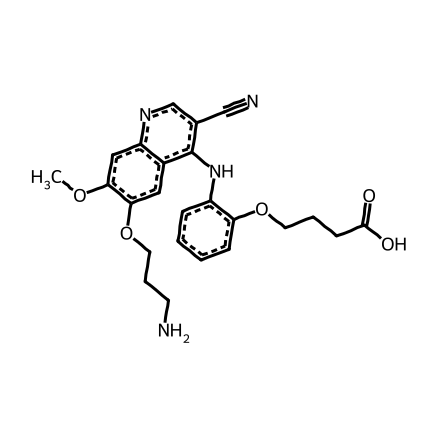 COc1cc2ncc(C#N)c(Nc3ccccc3OCCCC(=O)O)c2cc1OCCCN